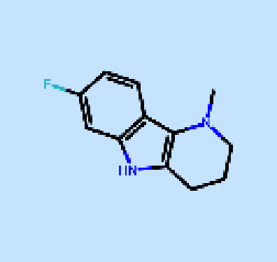 CN1CCCc2[nH]c3cc(F)ccc3c21